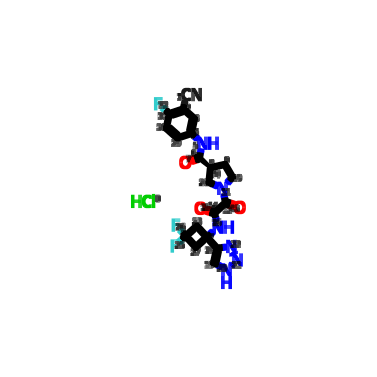 Cl.N#Cc1cc(NC(=O)[C@H]2CCN(C(=O)C(=O)NC3(c4c[nH]nn4)CC(F)(F)C3)C2)ccc1F